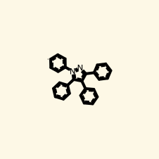 [c]1ccc(-n2nc(-c3ccccc3)c(-c3ccccc3)c2-c2ccccc2)cc1